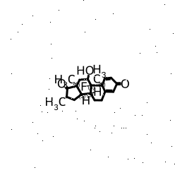 CC1C[C@H]2[C@@H]3CCC4=CC(=O)C=C[C@]4(C)[C@]3(F)C(O)C[C@]2(C)C1=O